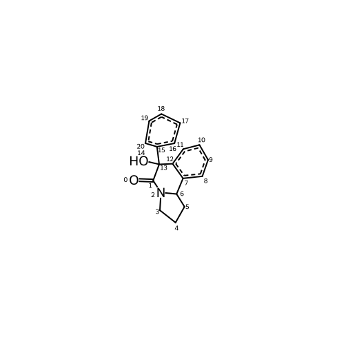 O=C1N2CCCC2c2ccccc2C1(O)c1ccccc1